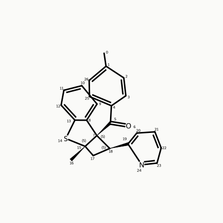 Cc1ccc(C(=O)[C@]23c4ccccc4S[C@@]2(C)C[C@@H]3c2ccccn2)cc1